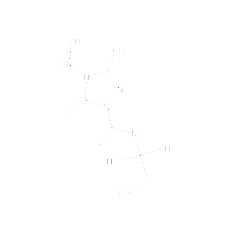 CCC(C)(C)NC(=O)n1nc(C)n(NC)c1=O